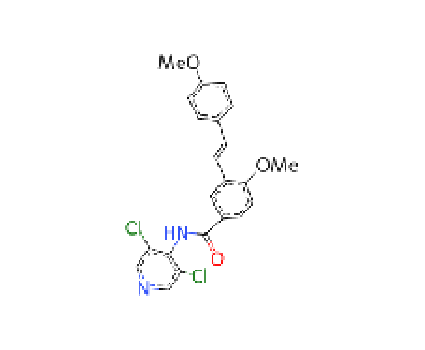 COc1ccc(C=Cc2cc(C(=O)Nc3c(Cl)cncc3Cl)ccc2OC)cc1